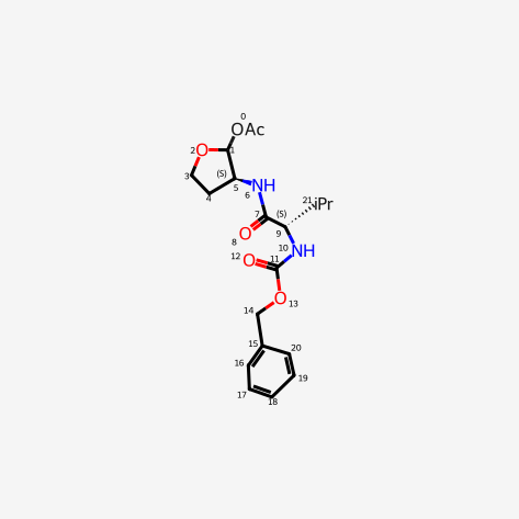 CC(=O)OC1OCC[C@@H]1NC(=O)[C@@H](NC(=O)OCc1ccccc1)C(C)C